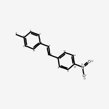 Cc1ccc(C=Cc2ccc([N+](=O)[O-])cc2)cc1